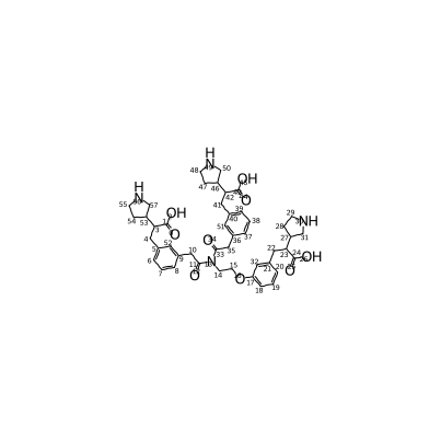 O=C(O)C(Cc1cccc(CC(=O)N(CCOc2cccc(CC(C(=O)O)C3CCNC3)c2)C(=O)Cc2cccc(CC(C(=O)O)C3CCNC3)c2)c1)C1CCNC1